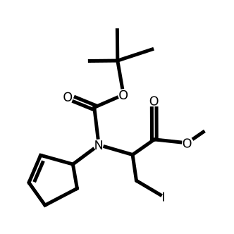 COC(=O)C(CI)N(C(=O)OC(C)(C)C)C1C=CCC1